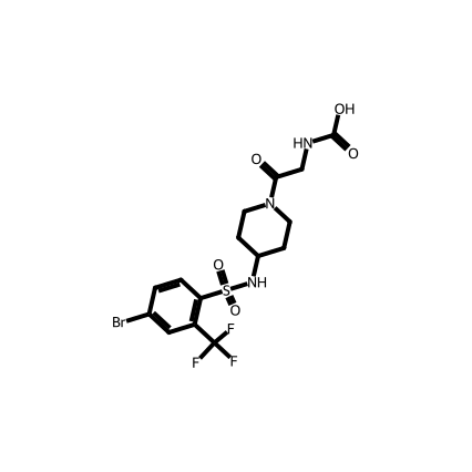 O=C(O)NCC(=O)N1CCC(NS(=O)(=O)c2ccc(Br)cc2C(F)(F)F)CC1